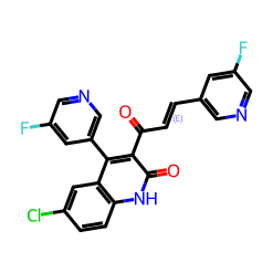 O=C(/C=C/c1cncc(F)c1)c1c(-c2cncc(F)c2)c2cc(Cl)ccc2[nH]c1=O